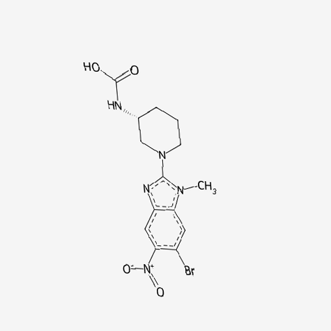 Cn1c(N2CCC[C@@H](NC(=O)O)C2)nc2cc([N+](=O)[O-])c(Br)cc21